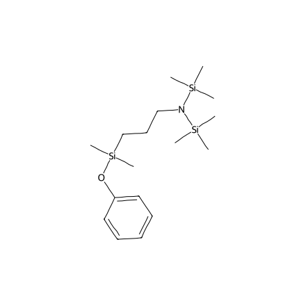 C[Si](C)(CCCN([Si](C)(C)C)[Si](C)(C)C)Oc1ccccc1